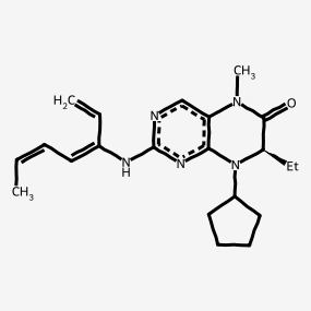 C=C/C(=C\C=C/C)Nc1ncc2c(n1)N(C1CCCC1)[C@H](CC)C(=O)N2C